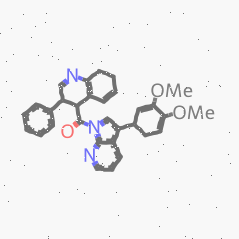 COC1=CCC(c2cn(C(=O)C3C4=C(CCC=C4)N=CC3c3ccccc3)c3ncccc23)C=C1OC